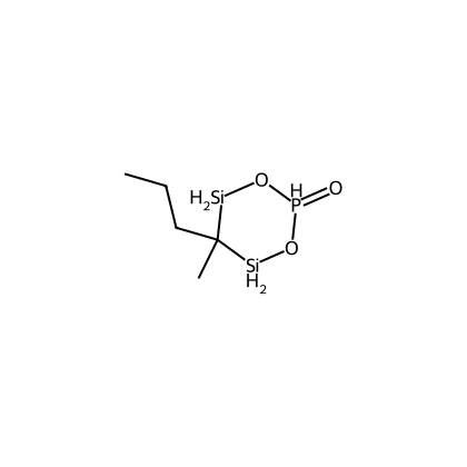 CCCC1(C)[SiH2]O[PH](=O)O[SiH2]1